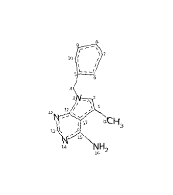 Cc1cn(Cc2ccccc2)c2ncnc(N)c12